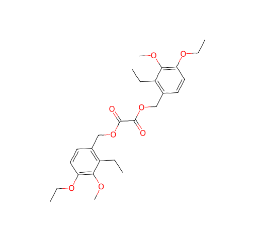 CCOc1ccc(COC(=O)C(=O)OCc2ccc(OCC)c(OC)c2CC)c(CC)c1OC